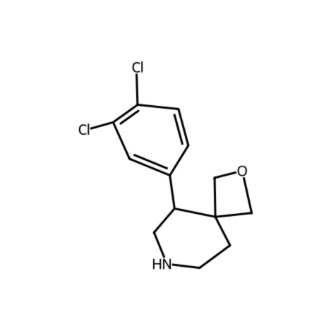 Clc1ccc(C2CNCCC23COC3)cc1Cl